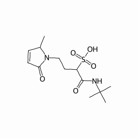 CC1C=CC(=O)N1CCC(C(=O)NC(C)(C)C)S(=O)(=O)O